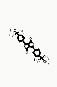 CC(C)(C)c1ccc(C2=C3C(=O)SC(c4ccc(C(C)(C)C)cc4)=C3C(=O)S2)cc1